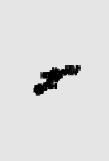 CCCC(CC[C@H]1CC[C@@H]2[C@@H](/C=C/[C@@H](O)COc3ccccc3)[C@H](O)C[C@@H]2S1)C(=O)O